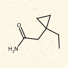 CCC1(CC(N)=O)CC1